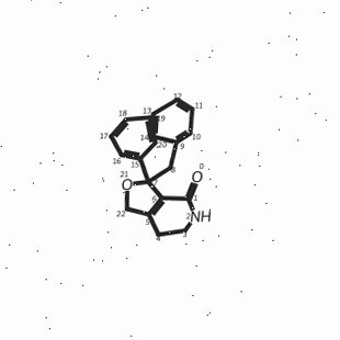 O=C1NCCC2=C1C(Cc1ccccc1)(c1ccccc1)OC2